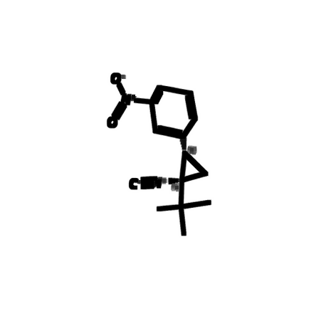 [C-]#[N+][C@@]1(C(C)(C)C)C[C@H]1c1cccc([N+](=O)[O-])c1